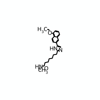 CCOc1cccc2cc(-c3cnc(CCCCCCC(=O)NC)[nH]3)ccc12